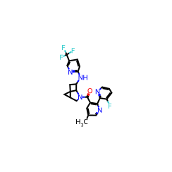 Cc1cnc(-c2ncccc2F)c(C(=O)N2CC3CC34CC(Nc3ccc(C(F)(F)F)cn3)C24)c1